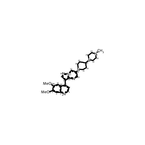 COc1cc2nccc(-c3cnn4cc(N5CCC(N6CCN(C)CC6)CC5)cnc34)c2cc1OC